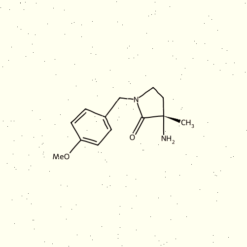 COc1ccc(CN2CC[C@](C)(N)C2=O)cc1